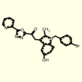 Cc1c(CC(=O)c2nnc(-c3ccccn3)o2)c2cc(O)ccc2n1Cc1ccc(Br)cc1